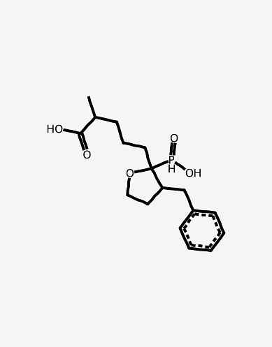 CC(CCCC1([PH](=O)O)OCCC1Cc1ccccc1)C(=O)O